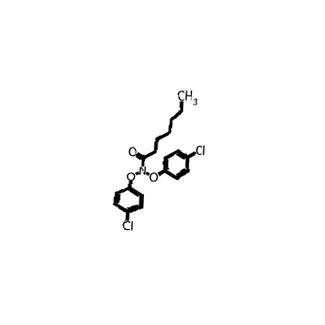 CCCCCCC(=O)N(Oc1ccc(Cl)cc1)Oc1ccc(Cl)cc1